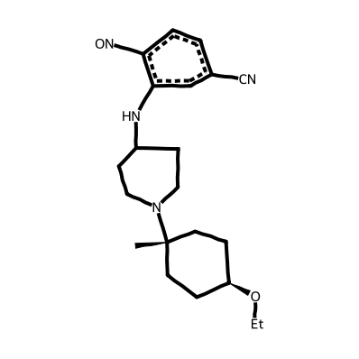 CCO[C@H]1CC[C@](C)(N2CCC(Nc3cc(C#N)ccc3N=O)CC2)CC1